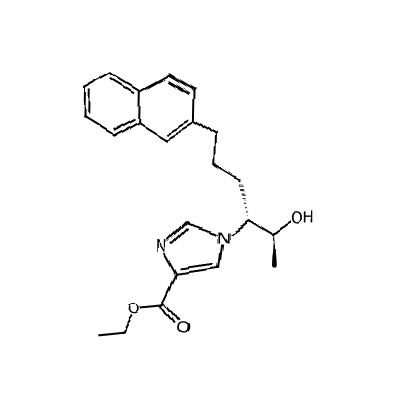 CCOC(=O)c1cn([C@H](CCCc2ccc3ccccc3c2)[C@H](C)O)cn1